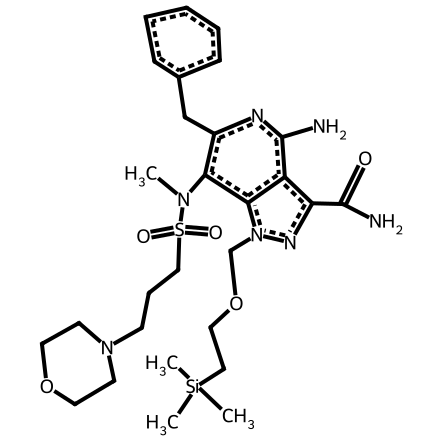 CN(c1c(Cc2ccccc2)nc(N)c2c(C(N)=O)nn(COCC[Si](C)(C)C)c12)S(=O)(=O)CCCN1CCOCC1